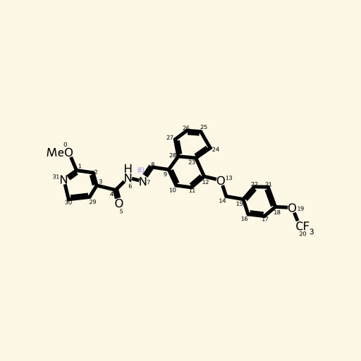 COc1cc(C(=O)N/N=C/c2ccc(OCc3ccc(OC(F)(F)F)cc3)c3ccccc23)ccn1